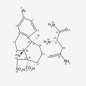 CC(C)c1ccc2c(c1)CC[C@H]1[C@@](CS(=O)(=O)O)(C(=O)O)CCC[C@]21C.NC(=O)C[C@H](N)C(N)=O